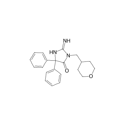 N=C1NC(c2ccccc2)(c2ccccc2)C(=O)N1CC1CCOCC1